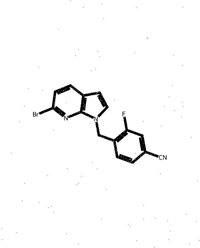 N#Cc1ccc(Cn2ccc3ccc(Br)nc32)c(F)c1